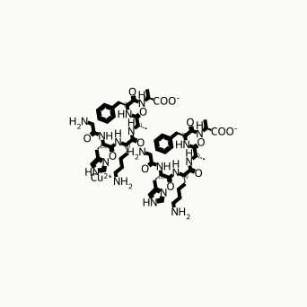 C[C@H](NC(=O)[C@H](Cc1ccccc1)NC(=O)[C@H](C)NC(=O)[C@H](CCCCN)NC(=O)[C@H](Cc1c[nH]cn1)NC(=O)CN)C(=O)[O-].C[C@H](NC(=O)[C@H](Cc1ccccc1)NC(=O)[C@H](C)NC(=O)[C@H](CCCCN)NC(=O)[C@H](Cc1c[nH]cn1)NC(=O)CN)C(=O)[O-].[Cu+2]